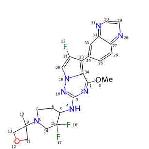 COc1nc(NC2CCN(C3(C)COC3)CC2(F)F)nn2cc(F)c(-c3ccc4nccnc4c3)c12